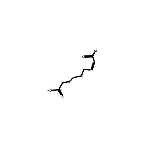 NC(=O)/C=C\CCCCCC(=O)O